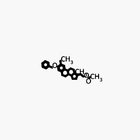 CCc1cc2c(cc1OCc1ccccc1)CCC1C2CCC2(C)C(CCOC(C)=O)CCC12